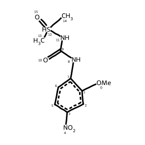 COc1cc([N+](=O)[O-])ccc1NC(=O)N[SH](C)(C)=O